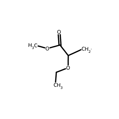 [CH2]C(OCC)C(=O)OC